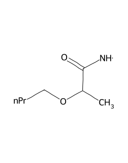 CCCCOC(C)C([NH])=O